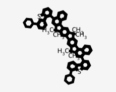 CC1(C)c2cc3c(cc2-c2cc4c(cc21)-c1c(cc(-c2cccc5sc6c(C7CCCCC7)cccc6c25)c2ccccc12)C4(C)C)C(C)(C)c1cc(-c2cccc4sc5c(C6CCCCC6)cccc5c24)c2ccccc2c1-3